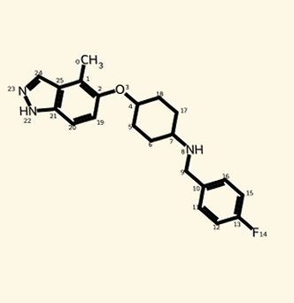 Cc1c(OC2CCC(NCc3ccc(F)cc3)CC2)ccc2[nH]ncc12